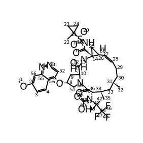 COc1ccc2c(O[C@@H]3C[C@H]4C(=O)N[C@]5(C(=O)NS(=O)(=O)C6(C)CC6)C[C@H]5C=CCC[C@@H](C)C[C@@H](C)[C@H](N(C(=O)O)C(C)(C)C(F)(F)F)C(=O)N4C3)cnnc2c1